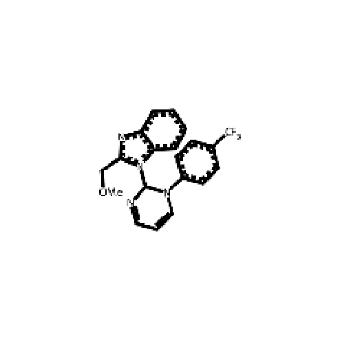 COCc1nc2ccccc2n1C1N=CC=CN1c1ccc(C(F)(F)F)cc1